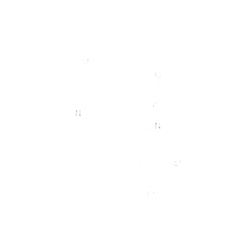 CCC(CC)c1ccc(N=C=O)cc1N=C=O